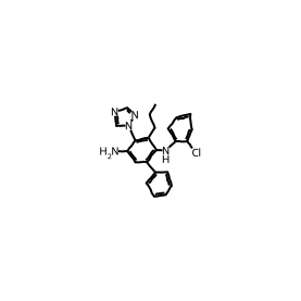 CCCc1c(Nc2ccccc2Cl)c(-c2ccccc2)cc(N)c1-n1cncn1